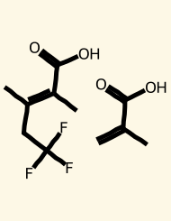 C=C(C)C(=O)O.CC(CC(F)(F)F)=C(C)C(=O)O